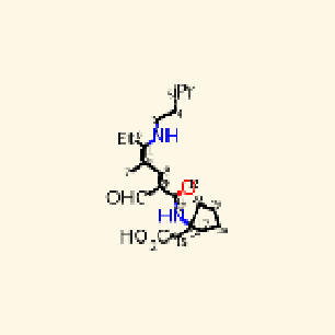 CC/C(NCCC(C)C)=C(C)/C=C(\C=O)C(=O)NC1(CC(=O)O)CCCC1